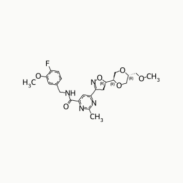 COC[C@@H]1CO[C@@H]([C@H]2CC(c3cc(C(=O)NCc4ccc(F)c(OC)c4)nc(C)n3)=NO2)CO1